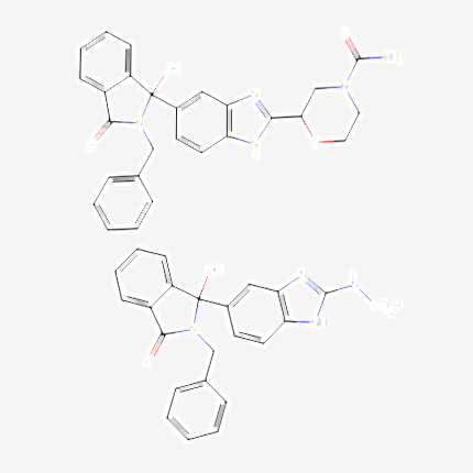 NC(=O)N1CCOC(c2nc3cc(C4(O)c5ccccc5C(=O)N4Cc4ccccc4)ccc3[nH]2)C1.O=C(O)Nc1nc2cc(C3(O)c4ccccc4C(=O)N3Cc3ccccc3)ccc2[nH]1